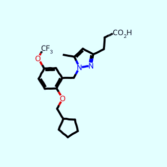 Cc1cc(CCC(=O)O)nn1Cc1cc(OC(F)(F)F)ccc1OCC1CCCC1